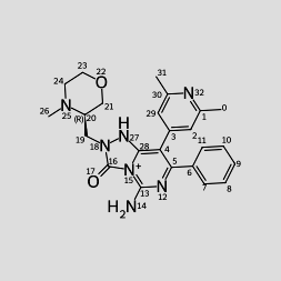 Cc1cc(-c2c(-c3ccccc3)nc(N)[n+]3c(=O)n(C[C@@H]4COCCN4C)[nH]c23)cc(C)n1